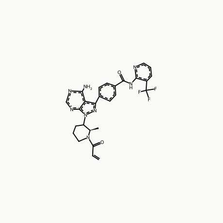 C=CC(=O)N1CCCC(n2nc(-c3ccc(C(=O)Nc4ncccc4C(F)(F)F)cc3)c3c(N)ncnc32)[C@H]1C